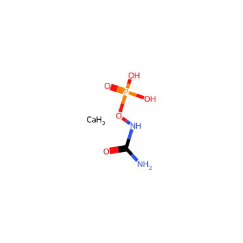 NC(=O)NOP(=O)(O)O.[CaH2]